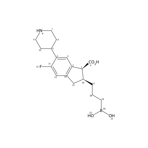 O=C(O)[C@@H]1c2cc(C3CCNCC3)c(F)cc2C[C@@H]1CCCB(O)O